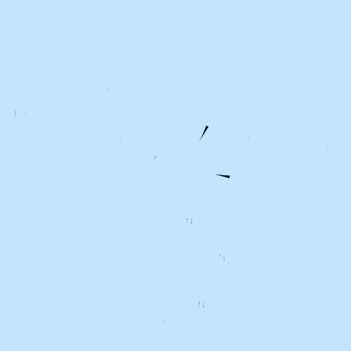 O=C(CCC(F)(F)F)OC[C@H]1O[C@@H](n2ccc(NO)nc2=O)[C@H](OC(=O)CCC(F)(F)F)[C@@H]1OC(=O)CCC(F)(F)F